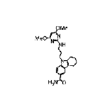 COc1cc(OC)nc(NCCCn2c3c(c4cc(C(N)=O)ccc42)CCCC3)n1